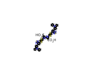 O=C(O)c1cc(-c2cc(C(=O)O)cc(-c3cc4sc(-c5ccc(-c6ccc7c(c6)N(c6ccccc6)C6CCCC76)c6nsnc56)cc4s3)n2)nc(-c2cc3sc(-c4ccc(-c5ccc6c(c5)N(c5ccccc5)C5CCCC65)c5nsnc45)cc3s2)c1